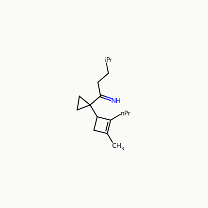 CCCC1=C(C)CC1C1(C(=N)CCC(C)C)CC1